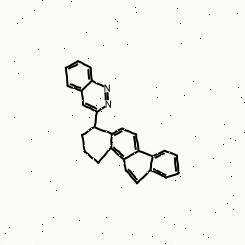 c1ccc2nnc(C3CCCc4c3ccc3c4ccc4ccccc43)cc2c1